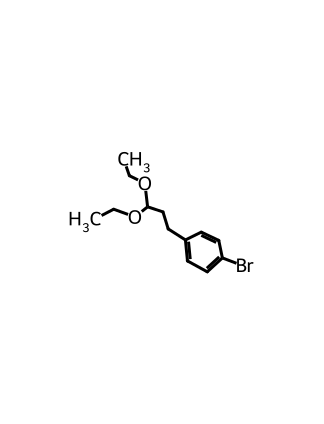 CCOC(CCc1ccc(Br)cc1)OCC